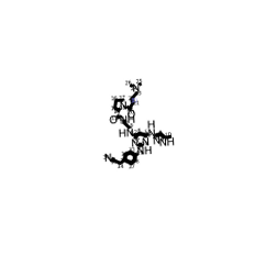 Cc1cc(Nc2cc(NCCNC(=O)[C@@H]3CCCN3C(=O)/C=C/CN(C)C)nc(Nc3ccc(CC#N)cc3)n2)n[nH]1